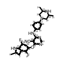 Cc1cc2c(F)c(Oc3ncnc(Nc4ccc(N5CC(C)NC(C)C5)cc4)c3C#N)cc(F)c2[nH]1